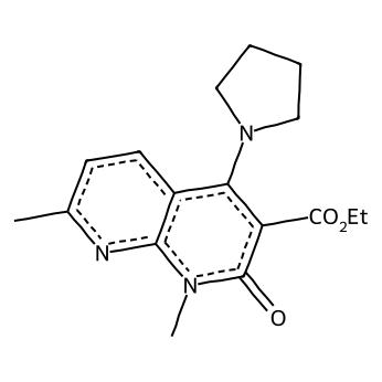 CCOC(=O)c1c(N2CCCC2)c2ccc(C)nc2n(C)c1=O